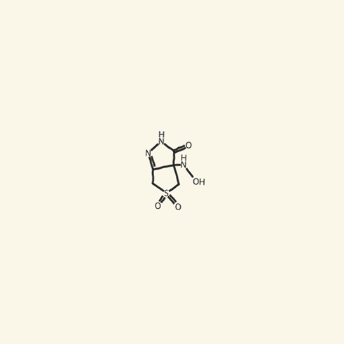 O=C1NN=C2CS(=O)(=O)CC12NO